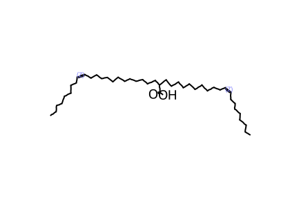 CCCCCCCC/C=C\CCCCCCCCCCCCC(CCCCCCCCCC/C=C\CCCCCCCC)C(=O)O